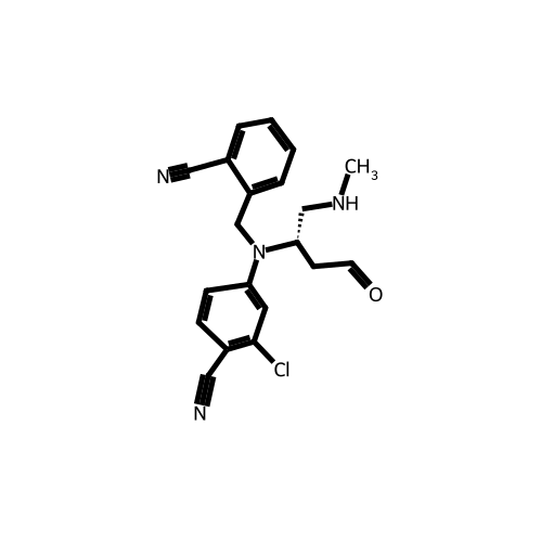 CNC[C@H](CC=O)N(Cc1ccccc1C#N)c1ccc(C#N)c(Cl)c1